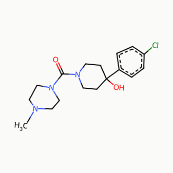 CN1CCN(C(=O)N2CCC(O)(c3ccc(Cl)cc3)CC2)CC1